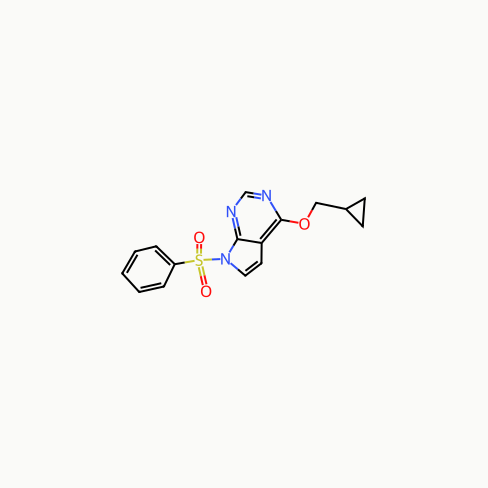 O=S(=O)(c1ccccc1)n1ccc2c(OCC3CC3)ncnc21